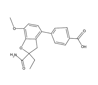 CCC1(C(N)=O)Cc2c(-c3ccc(C(=O)O)cc3)ccc(OC)c2O1